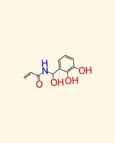 C=CC(=O)NC(O)c1cccc(O)c1O